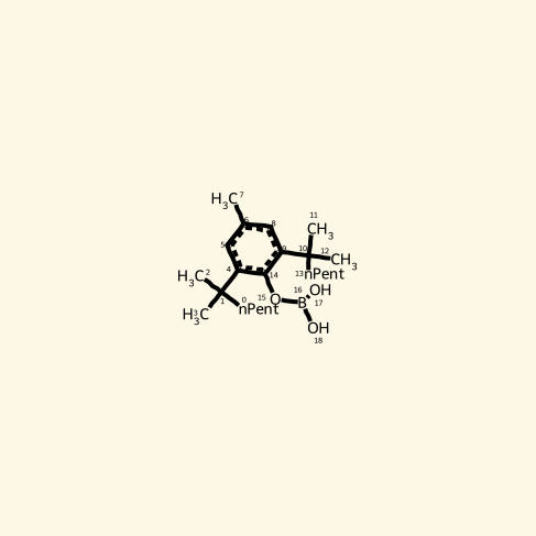 CCCCCC(C)(C)c1cc(C)cc(C(C)(C)CCCCC)c1OB(O)O